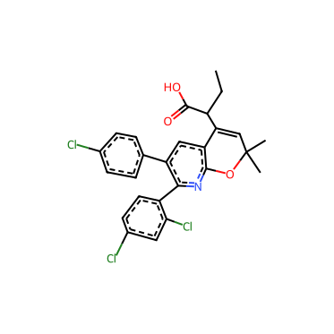 CCC(C(=O)O)C1=CC(C)(C)Oc2nc(-c3ccc(Cl)cc3Cl)c(-c3ccc(Cl)cc3)cc21